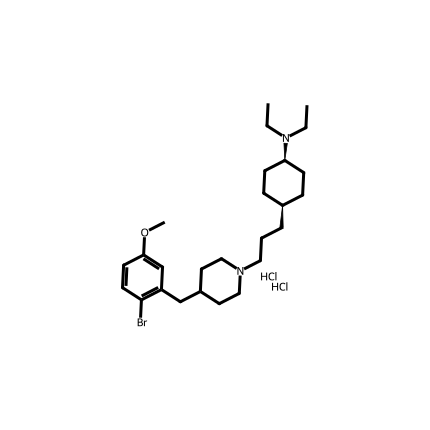 CCN(CC)[C@H]1CC[C@@H](CCCN2CCC(Cc3cc(OC)ccc3Br)CC2)CC1.Cl.Cl